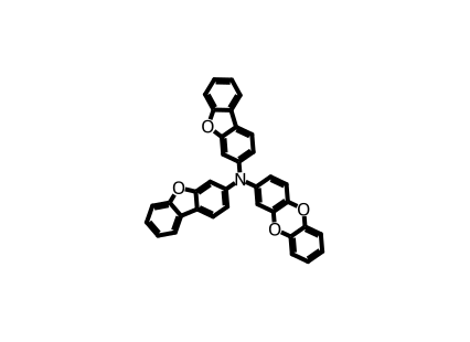 c1ccc2c(c1)Oc1ccc(N(c3ccc4c(c3)oc3ccccc34)c3ccc4c(c3)oc3ccccc34)cc1O2